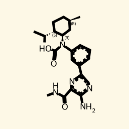 CNC(=O)c1nc(-c2cccc(N(C(=O)O)[C@@H]3C[C@H](C)CC[C@H]3C(C)C)c2)cnc1N